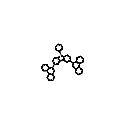 c1ccc(-n2c3ccc(-c4cc5ccccc5c5ccccc45)cc3c3cc(-c4cc5ccccc5c5ccccc45)ccc32)cc1